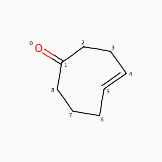 O=C1CC/C=C/CCC1